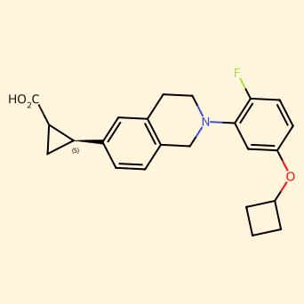 O=C(O)C1C[C@@H]1c1ccc2c(c1)CCN(c1cc(OC3CCC3)ccc1F)C2